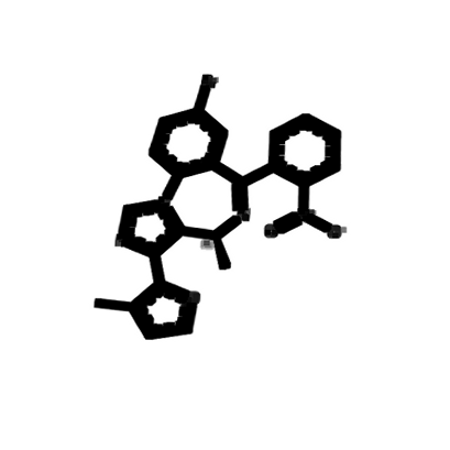 Cc1ccoc1-c1ncn2c1[C@H](C)N=C(c1ccccc1[N+](=O)[O-])c1cc(Br)ccc1-2